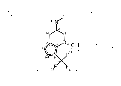 CNC1COc2c(csc2C(F)(F)F)C1.Cl